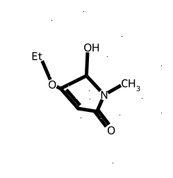 CCOC1=CC(=O)N(C)C1O